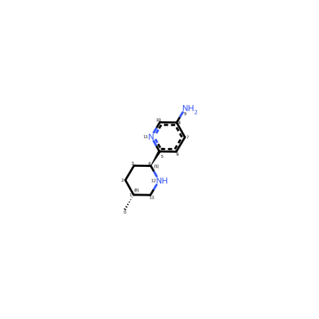 C[C@@H]1CC[C@@H](c2ccc(N)cn2)NC1